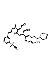 CC(=C/C=C/c1cccc(C(C)(C)C#N)c1)/C(=C\C=O)N/C=C(C=N)/C(/C=N\C=C\O)=C/CCCN1CCOCC1